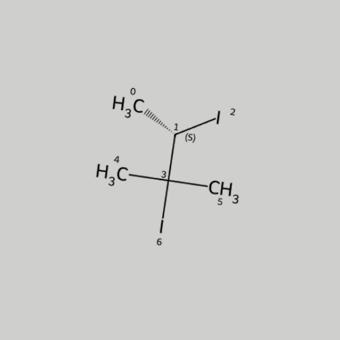 C[C@H](I)C(C)(C)I